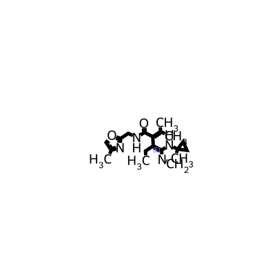 C=N/C(NC1(C)CC1)=C(\CC)C(C(=O)NCc1nc(C)co1)=C(C)C